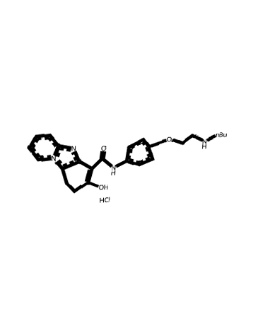 CCCCNCCOc1ccc(NC(=O)C2=C(O)CCc3c2nc2ccccn32)cc1.Cl